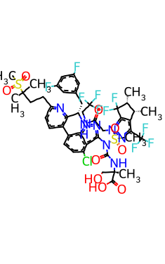 C[C@@H]1c2c(C(F)(F)F)nn(CC(=O)N[C@@H](Cc3cc(F)cc(F)c3)c3nc(CCC(C)(C)S(C)(=O)=O)ccc3-c3ccc(Cl)c4c(N(C(=O)N[C@@](C)(CO)C(=O)O)S(C)(=O)=O)nn(CC(F)(F)F)c34)c2C(F)(F)[C@@H]1C